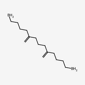 BCCCCC(=C)CCCC(=C)CCCCB